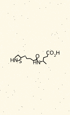 CC(CCC(=O)O)NC(=O)CCCCC1CCNS1